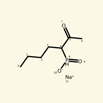 CCCCC(C(C)=O)[PH](=O)[O-].[Na+]